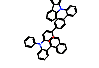 c1ccc(N(c2ccc(-c3ccc(-c4ccccc4-n4c5ccccc5c5ccccc54)cc3)cc2)c2ccccc2-c2cccc3ccccc23)cc1